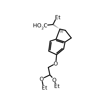 CCOC(COc1ccc2c(c1)CC[C@H]2C(CC)C(=O)O)OCC